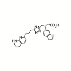 O=C(O)CC(Cn1nnc(CCCc2ccc3c(n2)NCCC3)n1)c1ccc2c(c1)OCC2